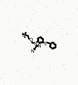 C[Si](C)(C)CCOCn1c(C#N)nc2c(SCc3ccccc3)cccc21